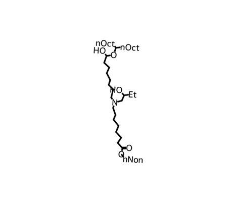 CCCCCCCCCOC(=O)CCCCCCCN(CCCCCCCC(O)OC(CCCCCCCC)CCCCCCCC)CC(O)CC